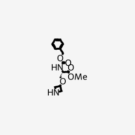 COC(=O)[C@H](COC1CNC1)NC(=O)OCc1ccccc1